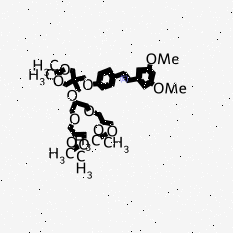 COc1cc(/C=C/c2ccc(OCC3(COC(COCC4COC(C)(C)O4)COCC4COC(C)(C)O4)COC(C)(C)OC3)cc2)cc(OC)c1